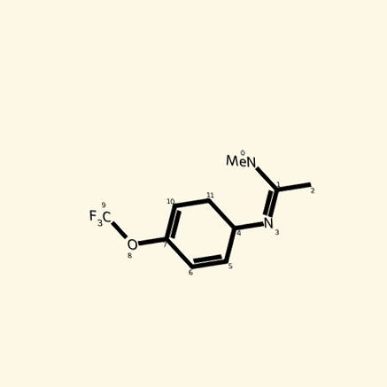 CN/C(C)=N\C1C=CC(OC(F)(F)F)=CC1